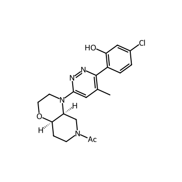 CC(=O)N1CC[C@H]2OCCN(c3cc(C)c(-c4ccc(Cl)cc4O)nn3)[C@H]2C1